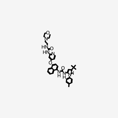 Cc1ccc(-n2nc(C(C)(C)C)cc2NC(=O)Nc2ccc(Oc3ccnc(NC(=O)NCCN4CCOCC4)c3)c3ccccc23)cc1